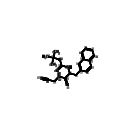 CC(C)(C)OC(=O)NC(Cc1ccc2ccccc2c1)C(=O)NCC#N